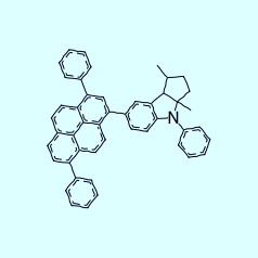 CC1CCC2(C)C1c1cc(-c3cc(-c4ccccc4)c4ccc5ccc(-c6ccccc6)c6ccc3c4c56)ccc1N2c1ccccc1